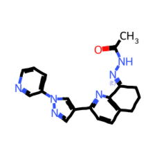 CC(=O)N/N=C1\CCCc2ccc(-c3cnn(-c4cccnc4)c3)nc21